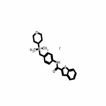 C[N+](C)(Cc1ccc(NC(=O)c2cc3ccccc3s2)cc1)C1CCOCC1.[I-]